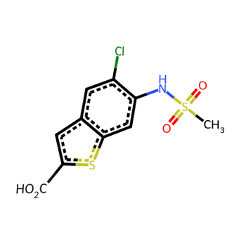 CS(=O)(=O)Nc1cc2sc(C(=O)O)cc2cc1Cl